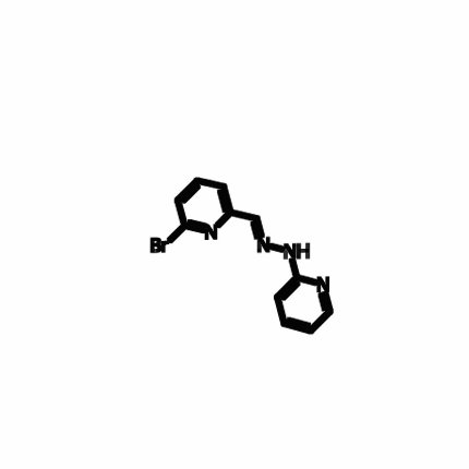 Brc1cccc(C=NNc2ccccn2)n1